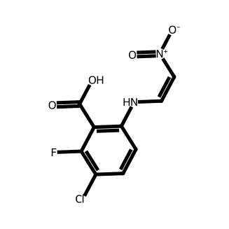 O=C(O)c1c(N/C=C\[N+](=O)[O-])ccc(Cl)c1F